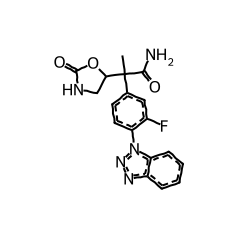 CC(C(N)=O)(c1ccc(-n2nnc3ccccc32)c(F)c1)C1CNC(=O)O1